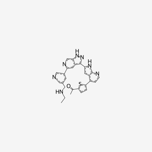 CCNCc1cncc(-c2cc3c(-c4cc5c(-c6ccc(C(C)=O)s6)ccnc5[nH]4)n[nH]c3cn2)c1